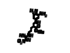 CC(C)(C)OC(=O)[C@@H](CCCNC(=N)N[N+](=O)[O-])CNc1ccc(N)c(N)c1